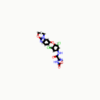 O=C(Nc1cc(Cl)c(Oc2ccc3nc4n(c3c2)CCCO4)c(Cl)c1)c1noc(=O)[nH]1